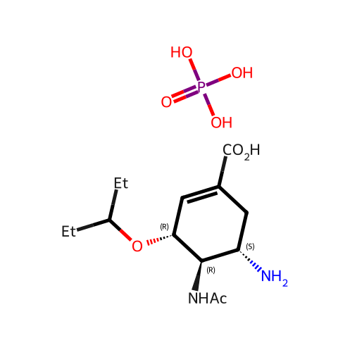 CCC(CC)O[C@@H]1C=C(C(=O)O)C[C@H](N)[C@H]1NC(C)=O.O=P(O)(O)O